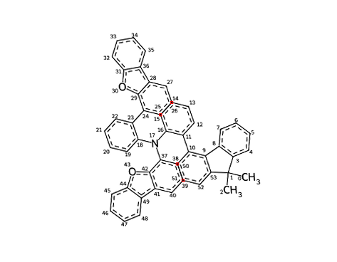 CC1(C)c2ccccc2-c2c(-c3ccccc3N(c3ccccc3-c3cccc4c3oc3ccccc34)c3cccc4c3oc3ccccc34)cccc21